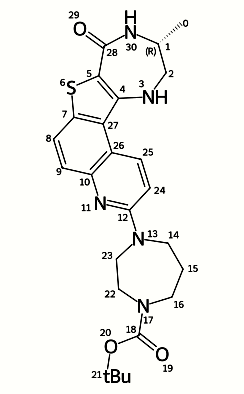 C[C@@H]1CNc2c(sc3ccc4nc(N5CCCN(C(=O)OC(C)(C)C)CC5)ccc4c23)C(=O)N1